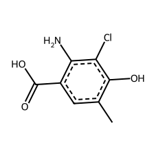 Cc1cc(C(=O)O)c(N)c(Cl)c1O